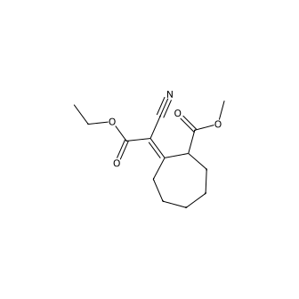 CCOC(=O)C(C#N)=C1CCCCCC1C(=O)OC